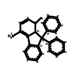 CC1C=CC(N)=C2c3ccccc3C(c3ccccc3)(c3ccccc3)C21